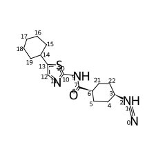 N#CN[C@H]1CC[C@@H](C(=O)Nc2ncc(C3CCCCC3)s2)CC1